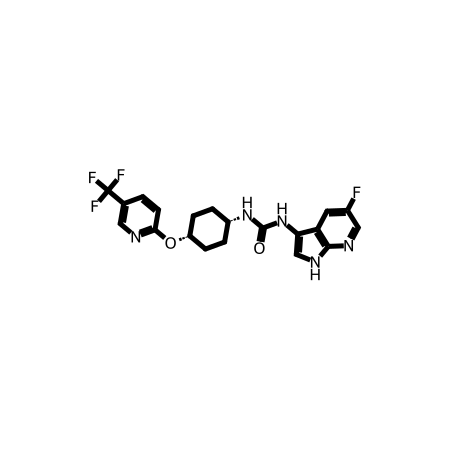 O=C(Nc1c[nH]c2ncc(F)cc12)N[C@H]1CC[C@@H](Oc2ccc(C(F)(F)F)cn2)CC1